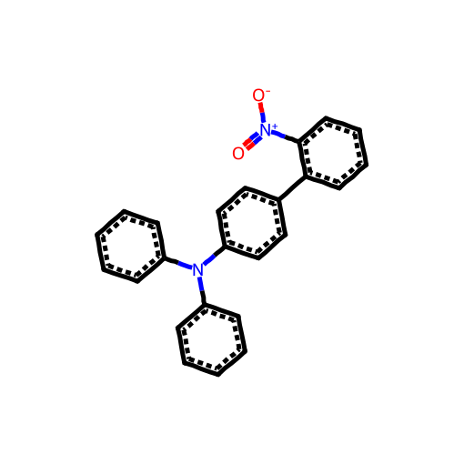 O=[N+]([O-])c1ccccc1-c1ccc(N(c2ccccc2)c2ccccc2)cc1